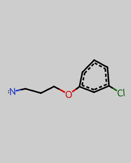 [N]CCCOc1cccc(Cl)c1